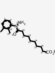 Cc1cccc(N(N)C(=O)CCCCCCCCC(=O)O)c1C